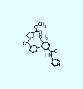 COC(=O)C1CCN(C(=O)c2cccc(-c3cc(C(=O)Nc4ccncc4)ccc3CN)c2)C1